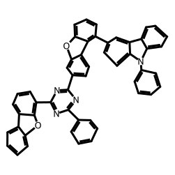 c1ccc(-c2nc(-c3ccc4c(c3)oc3cccc(-c5ccc6c(c5)c5ccccc5n6-c5ccccc5)c34)nc(-c3cccc4c3oc3ccccc34)n2)cc1